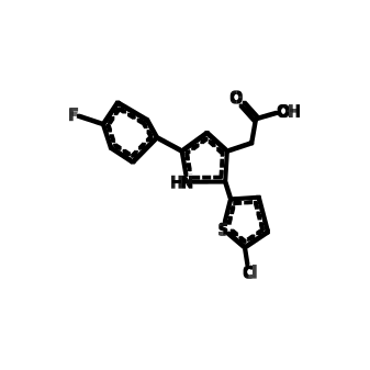 O=C(O)Cc1cc(-c2ccc(F)cc2)[nH]c1-c1ccc(Cl)s1